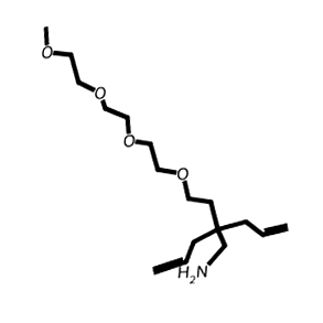 C=CCC(CN)(CC=C)CCOCCOCCOCCOC